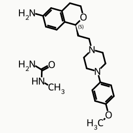 CNC(N)=O.COc1ccc(N2CCN(CC[C@@H]3OCCc4cc(N)ccc43)CC2)cc1